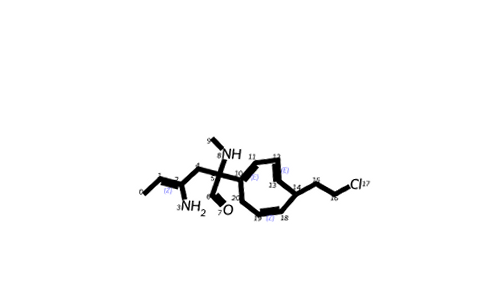 C/C=C(\N)CC(C=O)(NC)/C1=C/C=C/C(CCCl)/C=C\C1